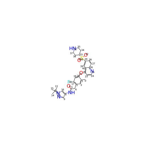 Cc1cc(CC(=O)Nc2cnn(C(C)(C)C)c2)c(F)cc1Oc1ccnc2ccc(S(=O)(=O)C3CCNCC3)cc12